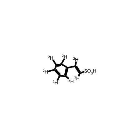 [2H]C(=C([2H])S(=O)(=O)O)c1c([2H])c([2H])c([2H])c([2H])c1[2H]